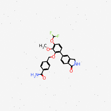 COc1c(OC(F)F)ccc(-c2ccc3c(c2)CNC3=O)c1OCc1ccc(C(N)=O)cc1